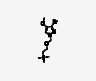 COc1cn(COCCS(C)(C)C)nc1Br